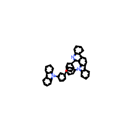 c1ccc(-n2c3ccccc3c3ccc4c5ccccc5nc(-c5ccc(-c6cccc(-n7c8ccccc8c8ccccc87)c6)cc5)c4c32)cc1